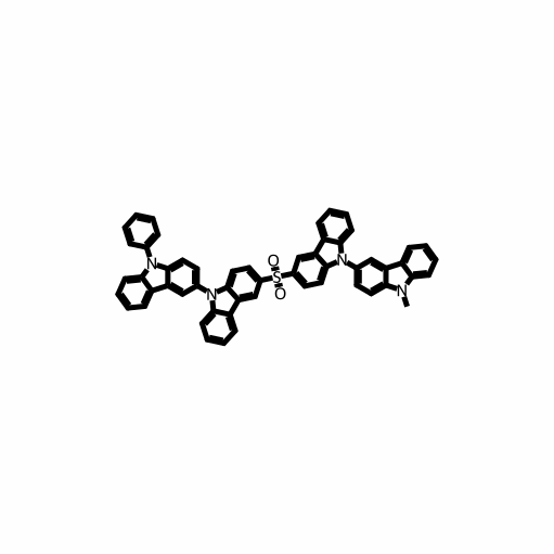 Cn1c2ccccc2c2cc(-n3c4ccccc4c4cc(S(=O)(=O)c5ccc6c(c5)c5ccccc5n6-c5ccc6c(c5)c5ccccc5n6-c5ccccc5)ccc43)ccc21